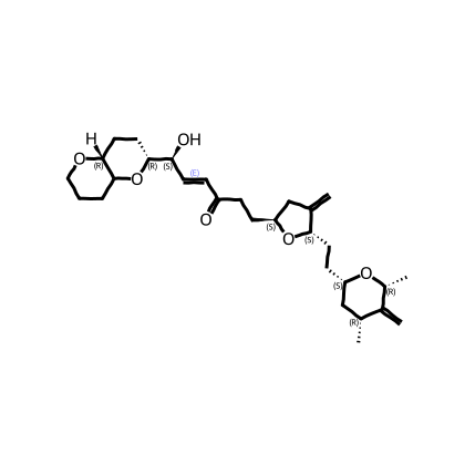 C=C1C[C@H](CCC(=O)/C=C/[C@H](O)[C@H]2CC[C@H]3OCCCC3O2)O[C@H]1CC[C@H]1C[C@@H](C)C(=C)[C@@H](C)O1